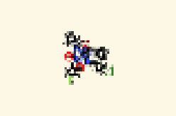 O=C1[C@H](Cc2ccc(F)cc2)N2C(=O)CN(Cc3ccccc3)N(C(=O)NCc3ccccc3)[C@H]2CN1CCc1ccc(Cl)cc1